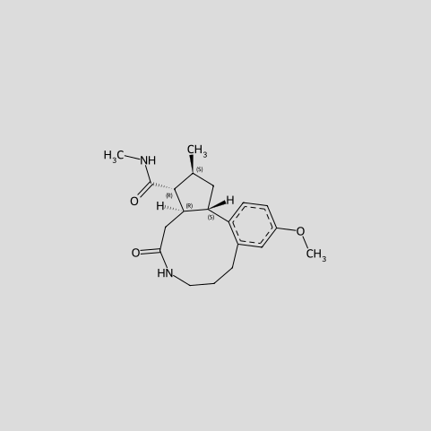 CNC(=O)[C@H]1[C@@H]2CC(=O)NCCCc3cc(OC)ccc3[C@H]2C[C@@H]1C